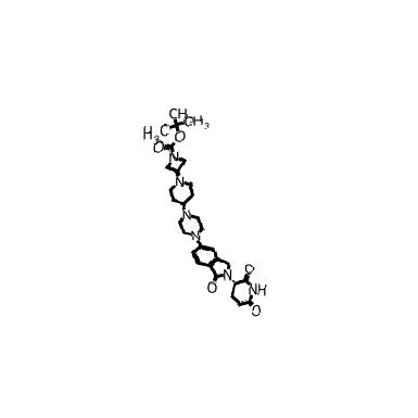 CC(C)(C)OC(=O)N1CC(N2CCC(N3CCN(c4ccc5c(c4)CN([C@H]4CCC(=O)NC4=O)C5=O)CC3)CC2)C1